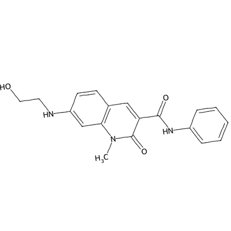 Cn1c(=O)c(C(=O)Nc2ccccc2)cc2ccc(NCCO)cc21